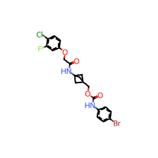 O=C(COc1ccc(Cl)c(F)c1)NC12CC(COC(=O)Nc3ccc(Br)cc3)(C1)C2